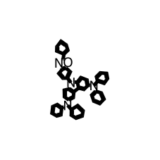 c1ccc(-c2nc3ccc(-n4c5ccc(N(c6ccccc6)c6ccccc6)cc5c5cc(N(c6ccccc6)c6ccccc6)ccc54)cc3o2)cc1